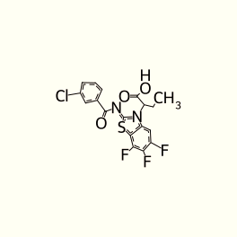 CCC(C(=O)O)n1/c(=N/C(=O)c2cccc(Cl)c2)sc2c(F)c(F)c(F)cc21